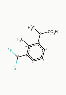 CC(C(=O)O)c1cccc(C(F)F)c1C(F)(F)F